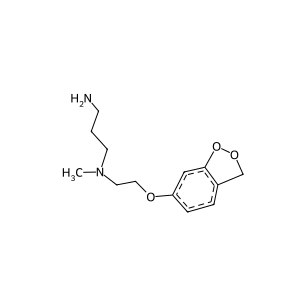 CN(CCCN)CCOc1ccc2c(c1)OOC2